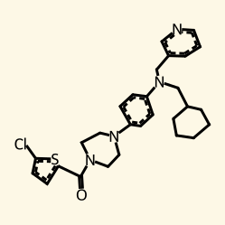 O=C(c1ccc(Cl)s1)N1CCN(c2ccc(N(Cc3cccnc3)CC3CCCCC3)cc2)CC1